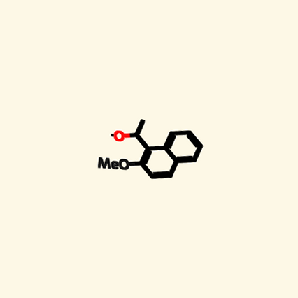 COc1ccc2ccccc2c1C(C)[O]